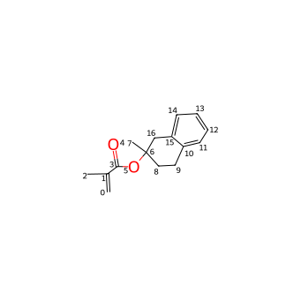 C=C(C)C(=O)OC1(C)CCc2ccccc2C1